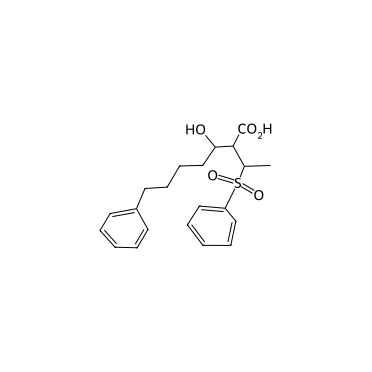 CC(C(C(=O)O)C(O)CCCCc1ccccc1)S(=O)(=O)c1ccccc1